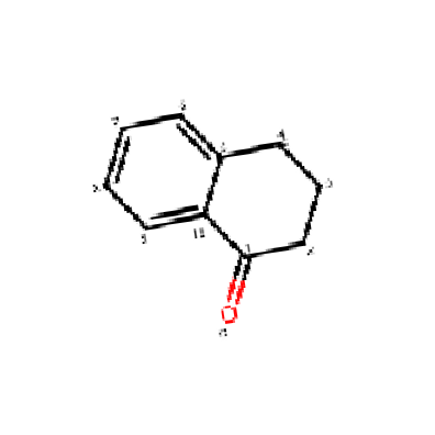 O=C1CC[C]c2ccccc21